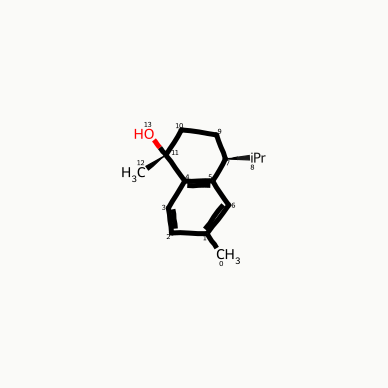 Cc1ccc2c(c1)[C@H](C(C)C)CC[C@@]2(C)O